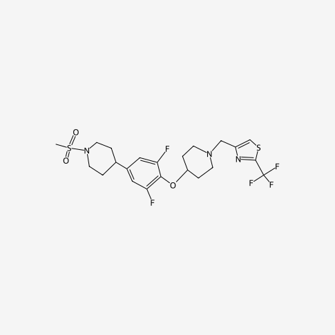 CS(=O)(=O)N1CCC(c2cc(F)c(OC3CCN(Cc4csc(C(F)(F)F)n4)CC3)c(F)c2)CC1